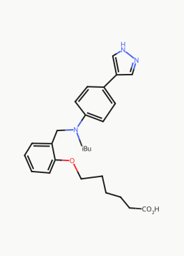 CCC(C)N(Cc1ccccc1OCCCCCC(=O)O)c1ccc(-c2cn[nH]c2)cc1